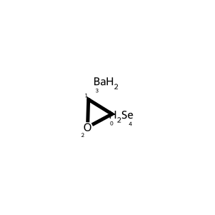 C1CO1.[BaH2].[SeH2]